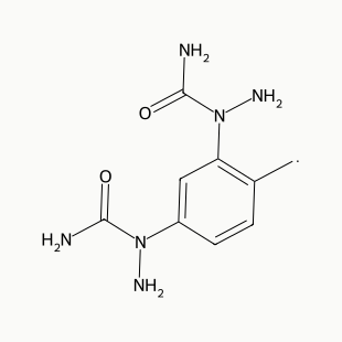 [CH2]c1ccc(N(N)C(N)=O)cc1N(N)C(N)=O